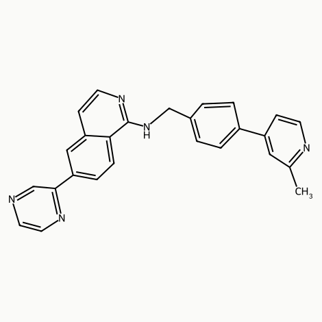 Cc1cc(-c2ccc(CNc3nccc4cc(-c5cnccn5)ccc34)cc2)ccn1